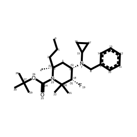 CCC[C@@]1(C)C[C@H](N(Cc2ccccc2)C2CC2)[C@H](F)C(C)(C)N1C(=O)OC(C)(C)C